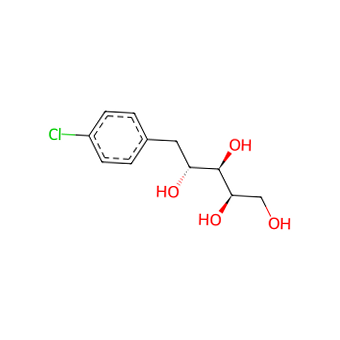 OC[C@@H](O)[C@H](O)[C@H](O)Cc1ccc(Cl)cc1